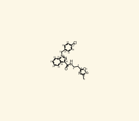 Cc1noc(CCNC(=O)c2nn(Cc3ccc(Cl)cc3)c3ccccc23)n1